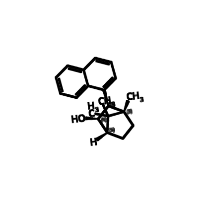 CC1(C)[C@@H]2CC[C@@]1(C)[C@H](c1cccc3ccccc13)[C@@H]2O